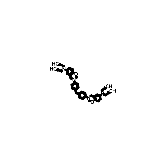 C#CCN(CC#C)c1ccc2c(c1)CN(c1ccc(Cc3ccc(N4COc5ccc(N(CC#C)CC#C)cc5C4)cc3)cc1)CO2